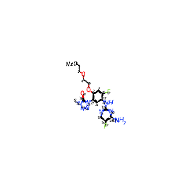 COCCOCCOc1cc(F)c(Nc2ncc(F)c(N)n2)cc1-n1nnn(C)c1=O